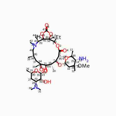 CC[C@H]1OC(=O)[C@H](C)[C@@H](O[C@H]2C[C@@](C)(OC)[C@@H](N)[C@H](C)O2)[C@H](C)[C@@H](O[C@@H]2O[C@H](C)C[C@H](N(C)C)[C@H]2O)[C@](C)(O)C[C@@H](C)CN(C)[C@@H](C)[C@H]2OC(=O)O[C@@]21C